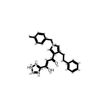 Cc1ccc(Cn2cc(CCc3ccccc3)c(C(=O)C=C(O)c3nn[nH]n3)c2)cc1